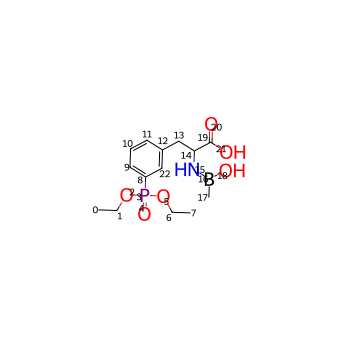 CCOP(=O)(OCC)c1cccc(CC(NB(C)O)C(=O)O)c1